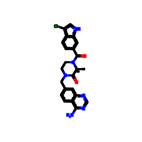 C[C@H]1C(=O)N(Cc2ccc3c(N)ncnc3c2)CCN1C(=O)c1ccc2c(Cl)c[nH]c2c1